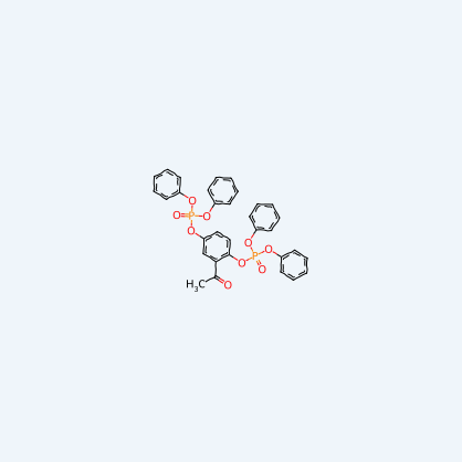 CC(=O)c1cc(OP(=O)(Oc2ccccc2)Oc2ccccc2)ccc1OP(=O)(Oc1ccccc1)Oc1ccccc1